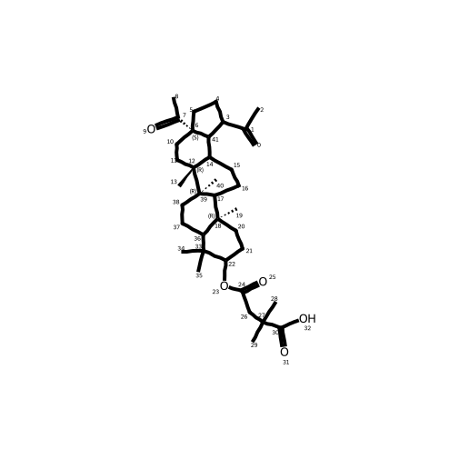 C=C(C)C1CC[C@]2(C(C)=O)CC[C@]3(C)C(CCC4[C@@]5(C)CCC(OC(=O)CC(C)(C)C(=O)O)C(C)(C)C5CC[C@]43C)C12